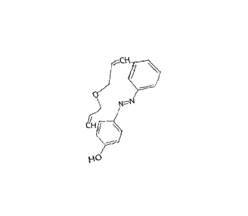 C=CCOCC=C.Oc1ccc(N=Nc2ccccc2)cc1